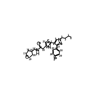 CCCCn1cc(-c2nc(CC(=O)NCC3CCOCC3)cs2)c(-c2ccc(F)cc2)n1